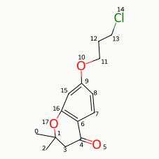 CC1(C)CC(=O)c2ccc(OCCCCl)cc2O1